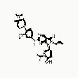 C=CCn1c(=O)c2cnc(Nc3ccc(N4CCC(C)(N(C)C)CC4)c(OC)c3)nc2n1C1=NN(C(C)C)C(O)C=C1